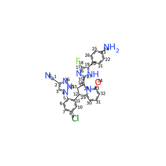 N#Cc1cn(-c2ccc(Cl)cc2C2C[C@@H](c3nc(F)c(-c4ccc(N)cc4)[nH]3)n3c2cccc3=O)nn1